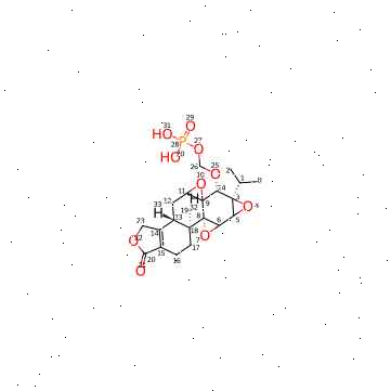 CC(C)[C@]12OC1C1O[C@]13C1(O[C@H]1C[C@H]1C4=C(CC[C@@]13C)C(=O)OC4)[C@@H]2OCOP(=O)(O)O